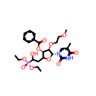 CCOP(=O)(OCC)C(O)CC1O[C@@H](n2cc(C)c(=O)[nH]c2=O)[C@H](OCCOC)[C@@H]1OC(=O)c1ccccc1